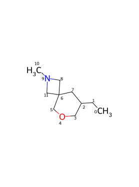 CCC1COCC2(C1)CN(C)C2